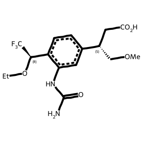 CCO[C@H](c1ccc([C@@H](COC)CC(=O)O)cc1NC(N)=O)C(F)(F)F